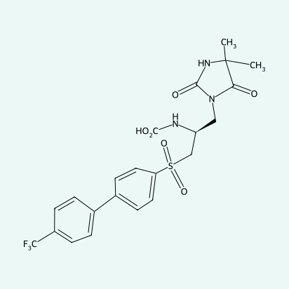 CC1(C)NC(=O)N(C[C@@H](CS(=O)(=O)c2ccc(-c3ccc(C(F)(F)F)cc3)cc2)NC(=O)O)C1=O